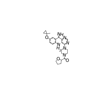 CC1(Oc2ccc(N)c(C(=N)c3cc(N4CCN(C(=O)C5CCCO5)CC4)ncn3)c2)CC1